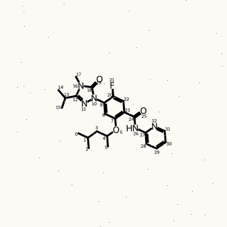 CC(C)CC(C)Oc1cc(-n2nc(C(C)C)n(C)c2=O)c(F)cc1C(=O)Nc1ccccn1